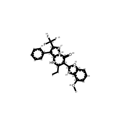 CCc1[nH]c2c(-c3ccccc3)c(C(F)(F)F)nn2c(=O)c1-c1nc2c(OC)cccc2o1